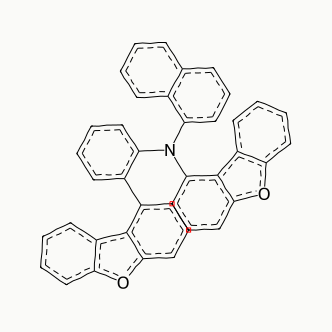 c1ccc(N(c2cccc3ccccc23)c2cccc3oc4ccccc4c23)c(-c2cccc3oc4ccccc4c23)c1